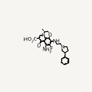 C[C@H]1COc2c(NCCN3CCC(c4ccccc4)C3)c(F)c(N)c3c(=O)c(C(=O)O)cn1c23